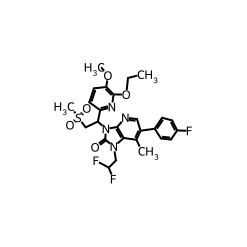 CCOc1nc(C(CS(C)(=O)=O)n2c(=O)n(CC(F)F)c3c(C)c(-c4ccc(F)cc4)cnc32)ccc1OC